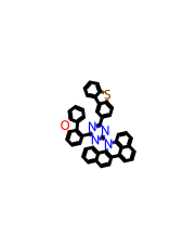 c1ccc2c3c(ccc2c1)-c1cccc2cccc(c12)N3c1nc(-c2ccc3sc4ccccc4c3c2)nc(-c2cccc3oc4ccccc4c23)n1